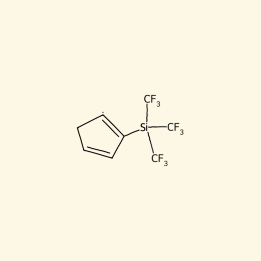 FC(F)(F)[Si](C1=[C]CC=C1)(C(F)(F)F)C(F)(F)F